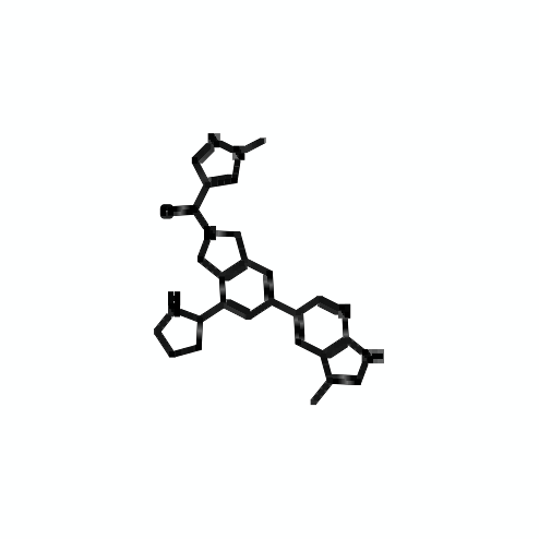 Cc1c[nH]c2ncc(-c3cc4c(c(C5CCCN5)c3)CN(C(=O)c3cnn(C)c3)C4)cc12